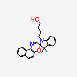 CC1(C)c2ccccc2N(CCCCO)C12C=Nc1c(ccc3ccccc13)O2